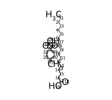 CCCCCCCCCCCCCCCCCC(=O)O.Cc1ccc(S(=O)(=O)O)cc1